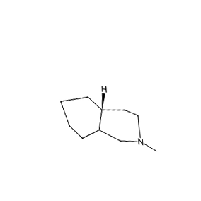 CN1CC[C@H]2CCCCC2C1